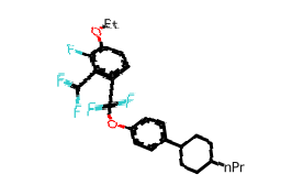 CCCC1CCC(c2ccc(OC(F)(F)c3ccc(OCC)c(F)c3C(F)F)cc2)CC1